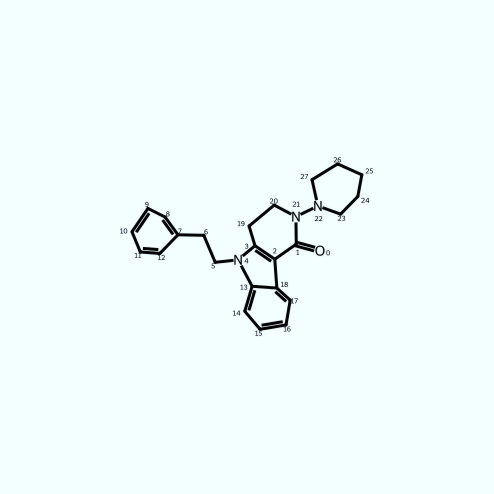 O=C1c2c(n(CCc3ccccc3)c3ccccc23)CCN1N1CCCCC1